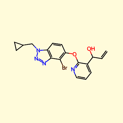 C=CC(O)c1cccnc1Oc1ccc2c(nnn2CC2CC2)c1Br